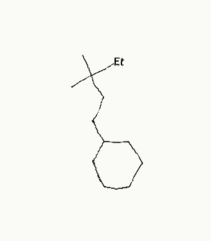 CCC(C)(C)CCC1CCCCC1